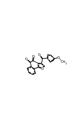 COc1ccc(C(=O)c2coc3c2C(=O)C(=O)c2ccccc2-3)cc1